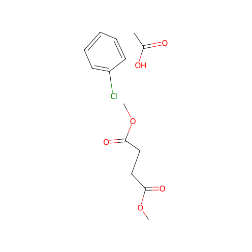 CC(=O)O.COC(=O)CCC(=O)OC.Clc1ccccc1